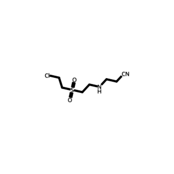 N#CCCNCCS(=O)(=O)CCCl